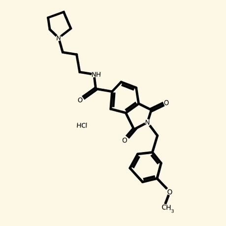 COc1cccc(CN2C(=O)c3ccc(C(=O)NCCCN4CCCC4)cc3C2=O)c1.Cl